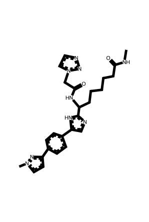 CNC(=O)CCCCCC(NC(=O)Cn1ccnn1)c1ncc(-c2ccc(-c3ccn(C)n3)cc2)[nH]1